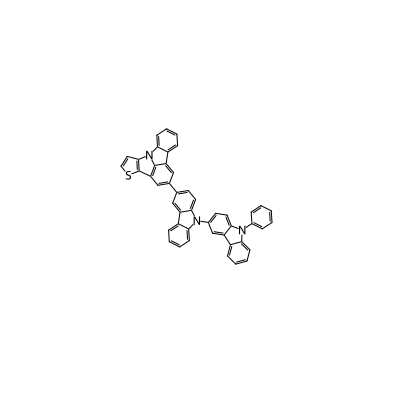 c1ccc(-n2c3ccccc3c3cc(-n4c5ccccc5c5cc(-c6cc7c8ccccc8n8c9ccsc9c(c6)c78)ccc54)ccc32)cc1